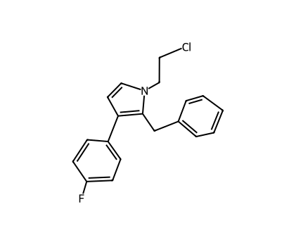 Fc1ccc(-c2ccn(CCCl)c2Cc2ccccc2)cc1